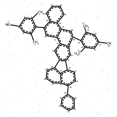 Cc1cc(C#N)cc(C)c1-c1cc2c3cc4c(cc3c(-c3c(C)cc(C#N)cc3C)cc2c2ccccc12)-c1ccc(-c2ccccc2)c2cccc-4c12